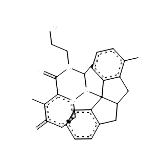 COCCN1C(=O)c2c(O)c(=O)ccn2N(C23c4ccccc4CC2Cc2c(F)cccc23)C1C